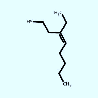 CCCCC=C(CC)CCS